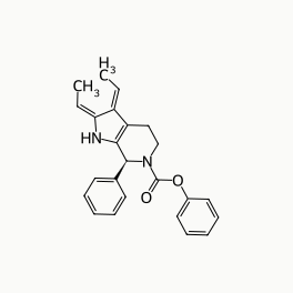 C/C=c1/c2c([nH]/c1=C/C)[C@H](c1ccccc1)N(C(=O)Oc1ccccc1)CC2